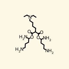 CCN(CC)CCCCC(C(=O)OC(N)CCCN)C(=O)OC(N)CCCN